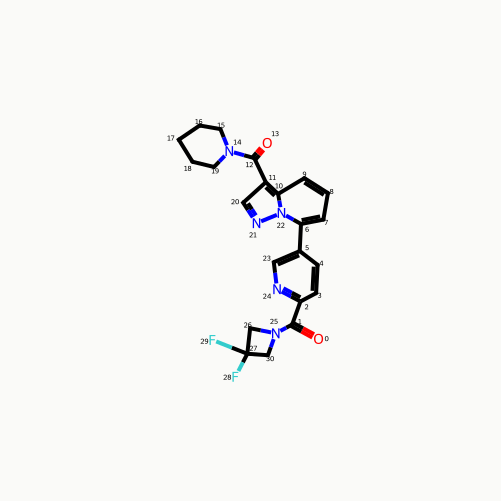 O=C(c1ccc(-c2cccc3c(C(=O)N4CCCCC4)cnn23)cn1)N1CC(F)(F)C1